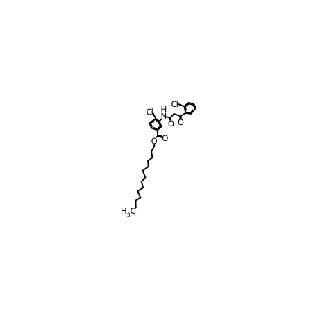 CCCCCCCCCCCCCCOC(=O)c1ccc(Cl)c(NC(=O)CC(=O)c2ccccc2Cl)c1